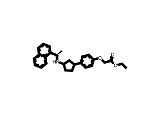 CCOC(=O)COc1ccc(C2CCC(N[C@H](C)c3cccc4ccccc34)C2)cc1